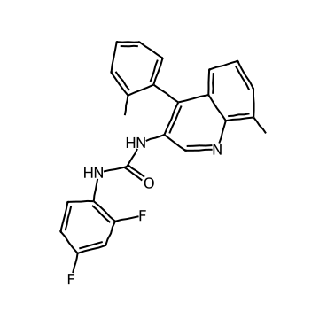 Cc1ccccc1-c1c(NC(=O)Nc2ccc(F)cc2F)cnc2c(C)cccc12